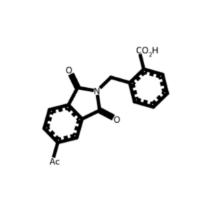 CC(=O)c1ccc2c(c1)C(=O)N(Cc1ccccc1C(=O)O)C2=O